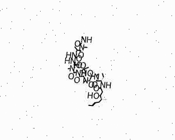 C/C=C/C[C@@H](C)[C@@H](O)CC(=O)N[C@@H](CC)C(=O)N(C)[C@H](O)C(=O)N(C)[C@@H](CC(C)(C)O)C(=O)NC(=O)N(C)C(=O)NC(=O)NC(C)C(=O)N(C)C(=O)NC